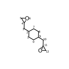 C1CC(CC2CO2)CCC1CC1CO1